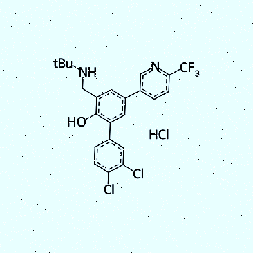 CC(C)(C)NCc1cc(-c2ccc(C(F)(F)F)nc2)cc(-c2ccc(Cl)c(Cl)c2)c1O.Cl